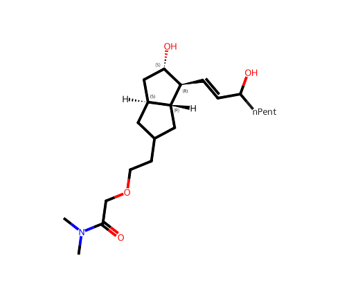 CCCCCC(O)C=C[C@H]1[C@@H]2CC(CCOCC(=O)N(C)C)C[C@H]2C[C@@H]1O